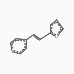 C(=Cc1ccco1)c1ccncc1